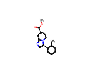 COC(=O)c1ccn2c(-c3ccccc3C)cnc2c1